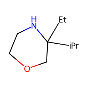 CCC1(C(C)C)COCCN1